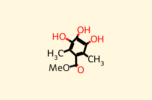 COC(=O)c1c(C)c(O)c(O)c(O)c1C